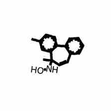 Cc1ccc2c(c1)C(C)(NO)C=Cc1ccccc1-2